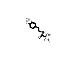 COc1ccc(CCNC(=O)[C@H](C)O)cc1